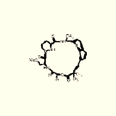 COC[C@@H]1NC(=O)[C@H](C(C)C)OC(=O)C(C)(C)/C=C/c2ccc3ccc(nc3c2)C(C)NC(=O)[C@@H]2CCCN(N2)C1=O